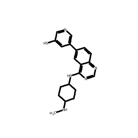 CNC1CCC(Nc2ncnc3ccc(-c4cncc(S)c4)cc23)CC1